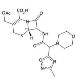 CC(=O)OCC1=C(C(=O)O)N2C(=O)C(NC(=O)C(c3nc(C)no3)N3CCOCC3)[C@@H]2SC1